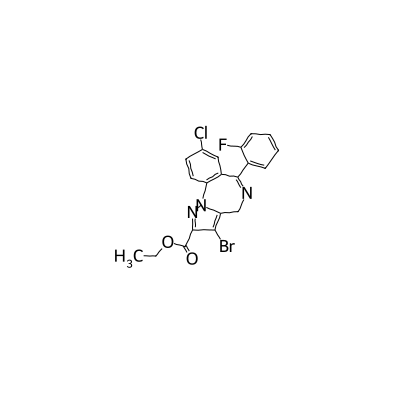 CCOC(=O)c1nn2c(c1Br)CN=C(c1ccccc1F)c1cc(Cl)ccc1-2